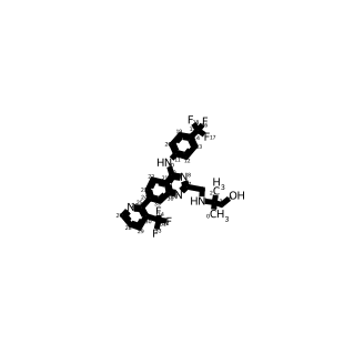 CC(C)(CO)NCc1nc(Nc2ccc(C(F)(F)F)cc2)c2ccc(-c3ncccc3C(F)(F)F)cc2n1